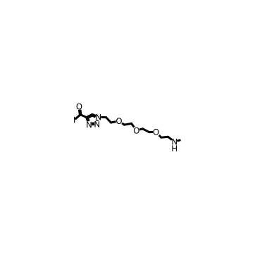 CNCCOCCOCCOCCn1cc(C(=O)I)nn1